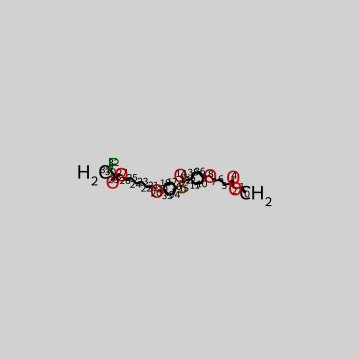 C=COC(=O)CCCOc1ccc(C(=O)Sc2ccc(OCCCCCCOC(=O)C(=C)F)cc2)cc1